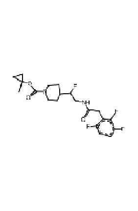 CC1(OC(=O)N2CCC(C(F)CNC(=O)Cc3c(F)ccc(F)c3F)CC2)CC1